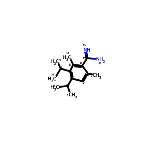 Cc1cc(C(C)C)c(C(C)C)c(C)c1C(=N)N